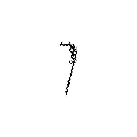 CCCCCC=CCC=CCCCCCCCC(=O)OC1CC[C@@]2(C)C(CC[C@H]3[C@@H]4CC[C@H]([C@H](C)CCCC(C)C)[C@@]4(C)CC[C@@H]32)C1